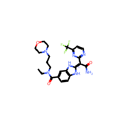 CCN(CCCN1CCOCC1)C(=O)c1ccc2c(c1)N/C(=C(/C(N)=O)c1nccc(C(F)(F)F)n1)N2